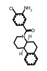 Nc1cc(C(=O)N2CCC[C@@H]3c4ccccc4CC[C@@H]32)ccc1Cl